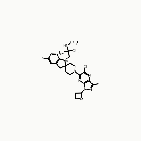 CC(C)(C[C@@H]1c2ccc(F)cc2CC12CCN(c1nc3c(nc1Cl)c(I)nn3C1CCO1)CC2)NC(=O)O